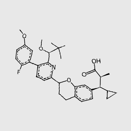 COc1ccc(F)c(-c2ccc(C3CCc4ccc([C@H](C5CC5)[C@H](C)C(=O)O)cc4O3)nc2C(OC)C(C)(C)C)c1